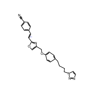 N#Cc1ccc(/C=C/c2nc(COc3ccc(CCCCn4ccnn4)cc3)co2)cc1